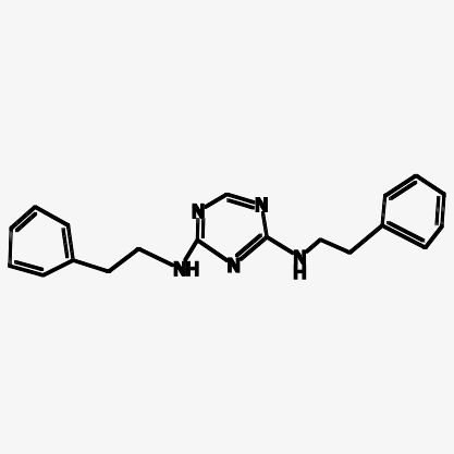 c1ccc(CCNc2ncnc(NCCc3ccccc3)n2)cc1